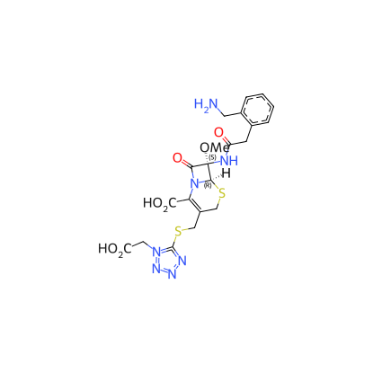 CO[C@@]1(NC(=O)Cc2ccccc2CN)C(=O)N2C(C(=O)O)=C(CSc3nnnn3CC(=O)O)CS[C@@H]21